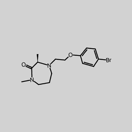 C[C@@H]1C(=O)N(C)CCCN1CCOc1ccc(Br)cc1